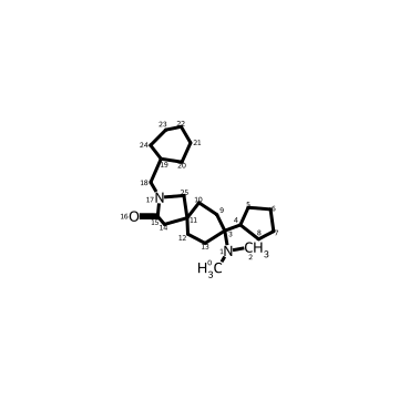 CN(C)C1(C2CCCC2)CCC2(CC1)CC(=O)N(CC1CCCCC1)C2